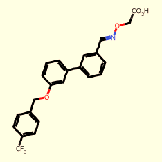 O=C(O)CO/N=C/c1cccc(-c2cccc(OCc3ccc(C(F)(F)F)cc3)c2)c1